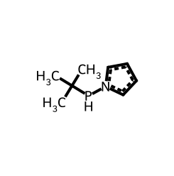 CC(C)(C)Pn1cccc1